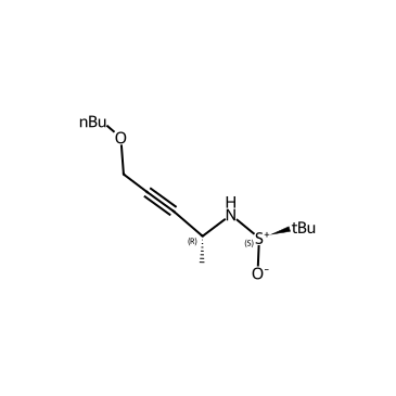 CCCCOCC#C[C@@H](C)N[S@+]([O-])C(C)(C)C